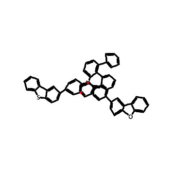 c1ccc(-c2ccccc2-c2c(-c3ccccc3)cccc2N(c2ccc(-c3ccc4oc5ccccc5c4c3)cc2)c2ccc(-c3ccc4sc5ccccc5c4c3)cc2)cc1